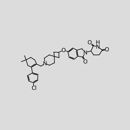 CC1(C)CCC(CN2CCC3(CC2)CC(Oc2ccc4c(c2)CN(C2CCC(=O)NC2=O)C4=O)C3)=C(c2ccc(Cl)cc2)C1